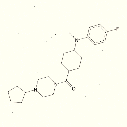 CN(c1ccc(F)cc1)C1CCC(C(=O)N2CCN(C3CCCC3)CC2)CC1